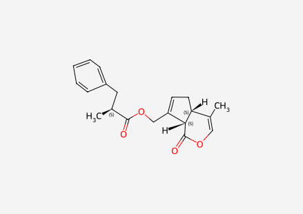 CC1=COC(=O)[C@@H]2C(COC(=O)[C@@H](C)Cc3ccccc3)=CC[C@H]12